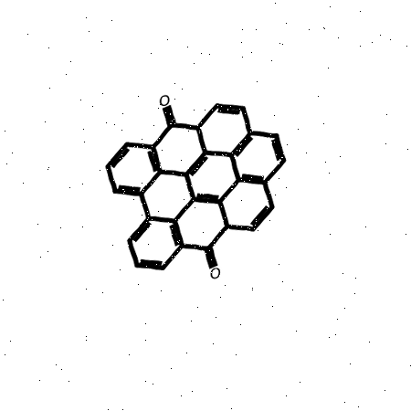 O=C1c2cccc3c4cccc5c4c4c6c7c(ccc8c7c(c4c23)C1C=C8)C=CC6C5=O